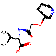 CC(C)[C@H](NC(=O)COc1cccnc1)C(=O)O